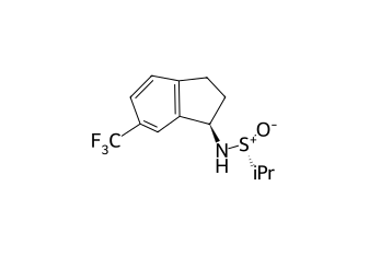 CC(C)[S@@+]([O-])N[C@@H]1CCc2ccc(C(F)(F)F)cc21